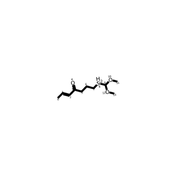 CC=CC(=O)CCC[SiH2]C(OC)OC